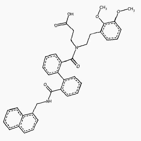 COc1cccc(CCN(CCC(=O)O)C(=O)c2ccccc2-c2ccccc2C(=O)NCc2cccc3ccccc23)c1OC